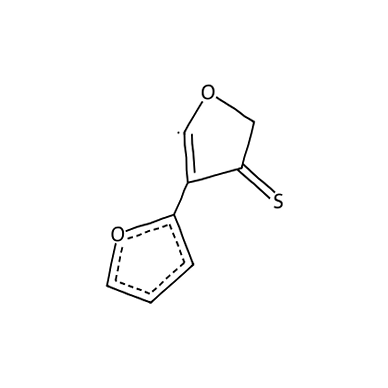 S=C1CO[C]=C1c1ccco1